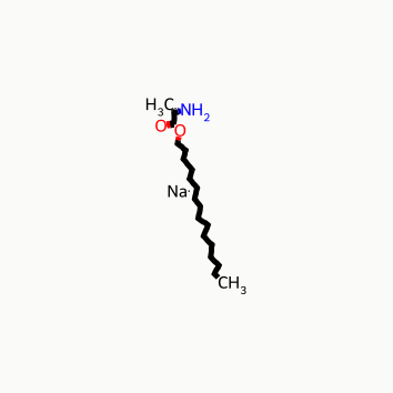 CCCCCCCCCCCCCCCCOC(=O)[C@H](C)N.[Na]